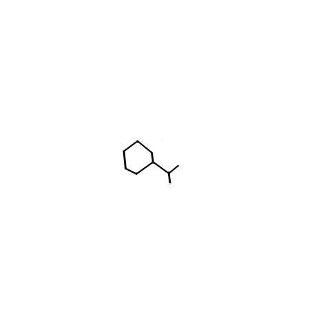 CCC(C(=O)[O-])C1CCCCC1.[Rb+]